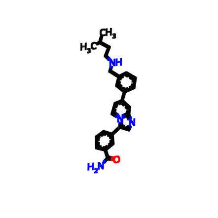 CC(C)CCNCc1cccc(-c2ccn3c(-c4cccc(C(N)=O)c4)cnc3c2)c1